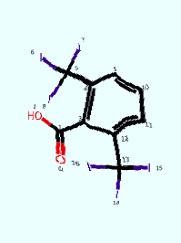 O=C(O)c1c(C(I)(I)I)cccc1C(I)(I)I